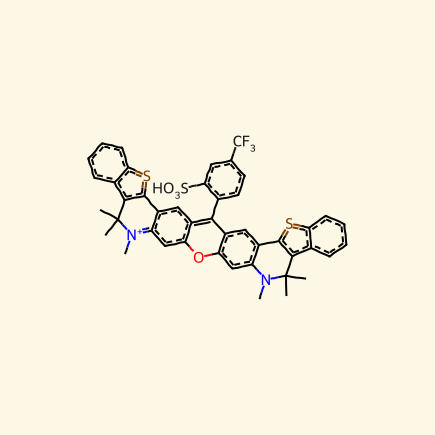 CN1c2cc3c(cc2-c2sc4ccccc4c2C1(C)C)C(c1ccc(C(F)(F)F)cc1S(=O)(=O)O)=c1cc2c(cc1O3)=[N+](C)C(C)(C)c1c-2sc2ccccc12